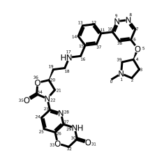 CN1CC[C@H](Oc2cnnc(-c3cccc(CNCC[C@H]4CN(c5ccc6c(n5)NC(=O)CO6)C(=O)O4)c3)c2)C1